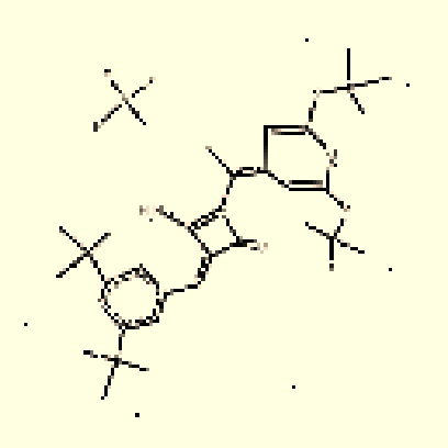 CC(=C1C=C(SC(C)(C)C)OC(SC(C)(C)C)=C1)C1=C(N)C(=Cc2cc(C(C)(C)C)[s+]c(C(C)(C)C)c2)C1=O.F[B-](F)(F)F